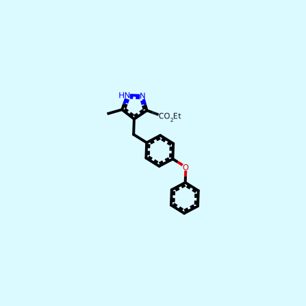 CCOC(=O)c1n[nH]c(C)c1Cc1ccc(Oc2ccccc2)cc1